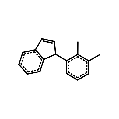 Cc1cccc(C2C=Cc3ccccc32)c1C